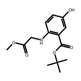 COC(=O)CNc1ccc(O)cc1C(=O)OC(C)(C)C